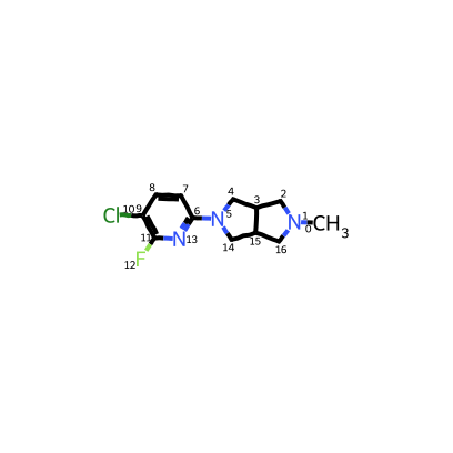 CN1CC2CN(c3ccc(Cl)c(F)n3)CC2C1